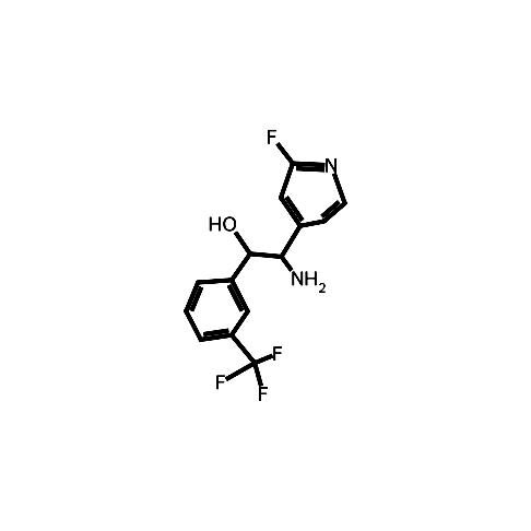 NC(c1ccnc(F)c1)C(O)c1cccc(C(F)(F)F)c1